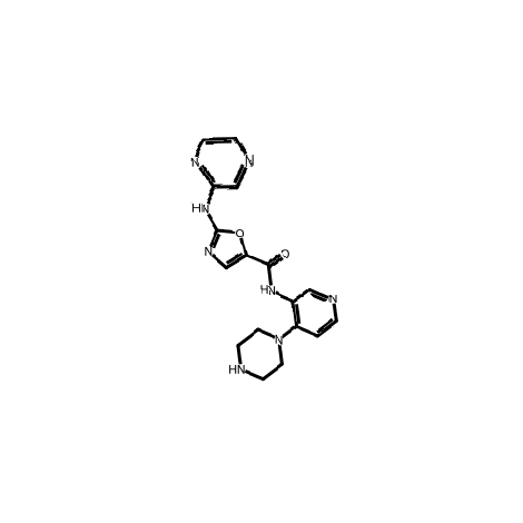 O=C(Nc1cnccc1N1CCNCC1)c1cnc(Nc2cnccn2)o1